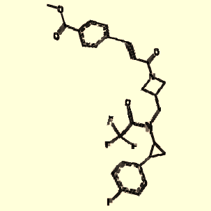 COC(=O)c1ccc(/C=C/C(=O)N2CC(CN(C(=O)C(F)(F)F)C3CC3c3ccc(F)cc3)C2)cc1